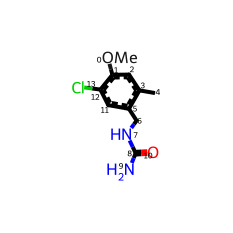 COc1cc(C)c(CNC(N)=O)cc1Cl